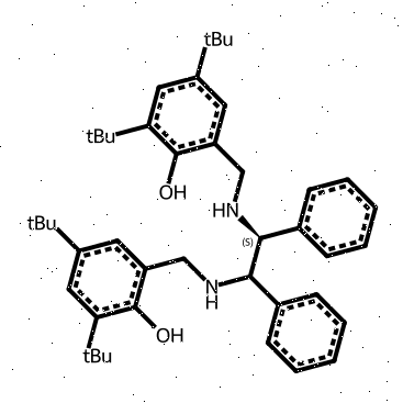 CC(C)(C)c1cc(CNC(c2ccccc2)[C@@H](NCc2cc(C(C)(C)C)cc(C(C)(C)C)c2O)c2ccccc2)c(O)c(C(C)(C)C)c1